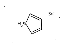 C1=C[SiH2]C=C1.[Sn]